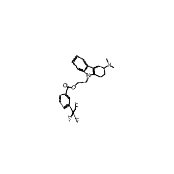 CN(C)C1CCc2c(c3ccccc3n2CCOC(=O)c2cccc(C(F)(F)F)c2)C1